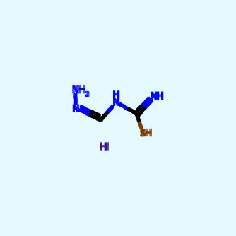 I.N=C(S)N/C=N\N